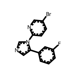 Fc1cccc(-c2cncn2-c2ccc(Br)cn2)c1